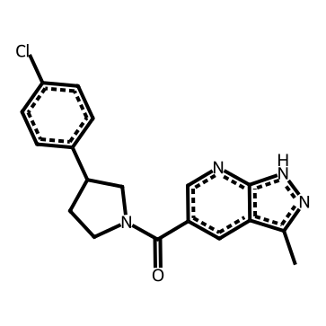 Cc1n[nH]c2ncc(C(=O)N3CCC(c4ccc(Cl)cc4)C3)cc12